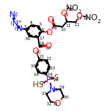 [N-]=[N+]=Nc1ccc(OC(=O)CC(CO[N+](=O)[O-])O[N+](=O)[O-])c(C(=O)Oc2ccc(P(=S)(S)N3CCOCC3)cc2)c1